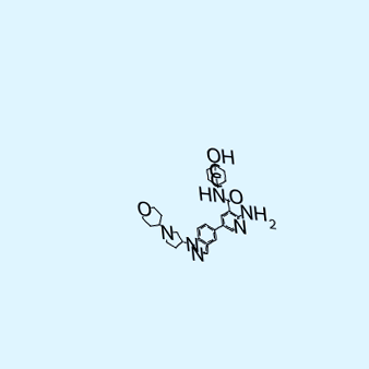 Nc1ncc(-c2ccc3c(cnn3[C@H]3CCN(C4CCOCC4)C3)c2)cc1C(=O)NC12CCC(O)(CC1)CC2